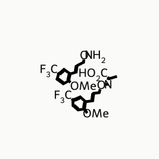 COc1ccc(C(F)(F)F)cc1/C=C/CO/N=C(/C)C(=O)O.COc1ccc(C(F)(F)F)cc1/C=C/CON